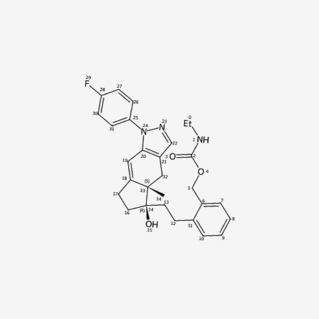 CCNC(=O)OCc1ccccc1CC[C@]1(O)CCC2=Cc3c(cnn3-c3ccc(F)cc3)C[C@@]21C